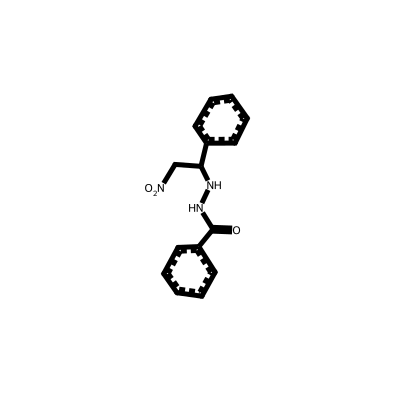 O=C(NNC(C[N+](=O)[O-])c1ccccc1)c1ccccc1